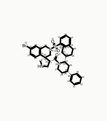 O=C([C@@H]1CNC[C@]12CN(S(=O)(=O)c1ccccc1)Cc1cc(Br)ccc12)N1CC[C@@H](c2ccccc2)C[C@H]1C1CCCCC1